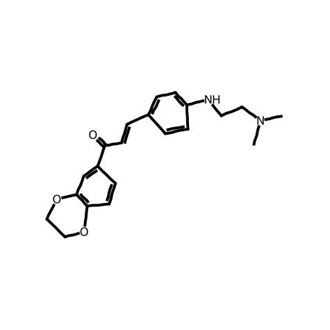 CN(C)CCNc1ccc(C=CC(=O)c2ccc3c(c2)OCCO3)cc1